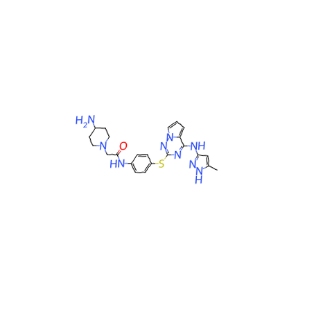 Cc1cc(Nc2nc(Sc3ccc(NC(=O)CN4CCC(N)CC4)cc3)nn3cccc23)n[nH]1